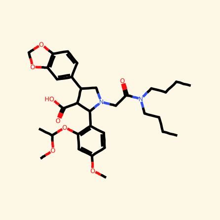 CCCCN(CCCC)C(=O)CN1CC(c2ccc3c(c2)OCO3)C(C(=O)O)C1c1ccc(OC)cc1OC(C)OC